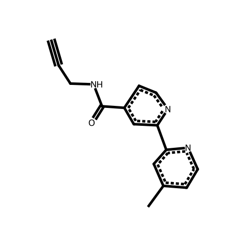 C#CCNC(=O)c1ccnc(-c2cc(C)ccn2)c1